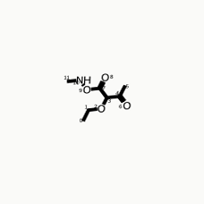 CCOC(C(C)=O)C(=O)ONC